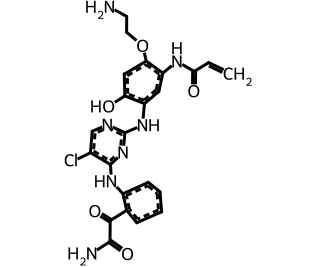 C=CC(=O)Nc1cc(Nc2ncc(Cl)c(Nc3ccccc3C(=O)C(N)=O)n2)c(O)cc1OCCN